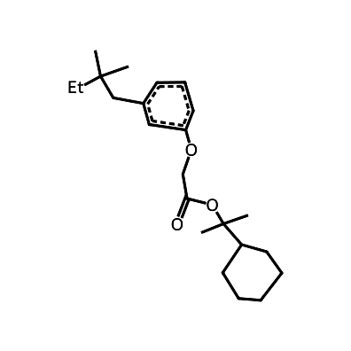 CCC(C)(C)Cc1cccc(OCC(=O)OC(C)(C)C2CCCCC2)c1